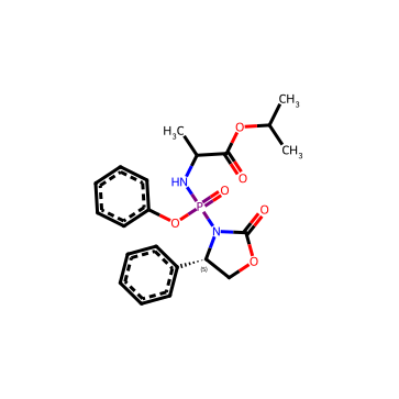 CC(C)OC(=O)C(C)NP(=O)(Oc1ccccc1)N1C(=O)OC[C@@H]1c1ccccc1